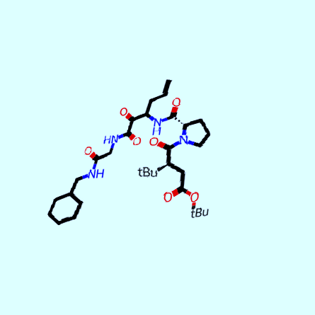 C=CCC(NC(=O)[C@@H]1CCCN1C(=O)[C@@H](CC(=O)OC(C)(C)C)C(C)(C)C)C(=O)C(=O)NCC(=O)NCC1CCCCC1